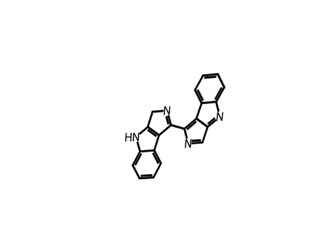 C1=NC(C2=NCc3[nH]c4ccccc4c32)=C2C1=Nc1ccccc12